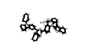 CC1(C)c2cc(-c3nc(-c4ccc5c(c4)c4ccccc4n5-c4ccccc4)c4ccccc4n3)ccc2-n2c3oc4ccccc4c3c3cccc1c32